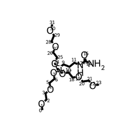 COCCOCCO[Si](CCCNC(N)=O)(OCCOCCOC)OCCOCCOC